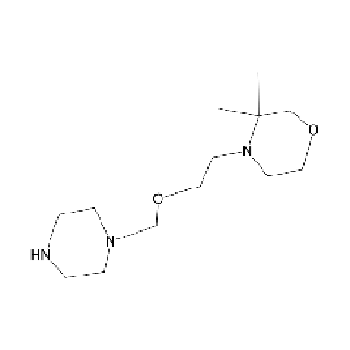 CC1(C)COCCN1CCOCN1CCNCC1